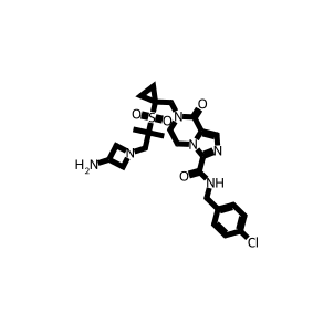 CC(C)(CN1CC(N)C1)S(=O)(=O)C1(CN2CCn3c(cnc3C(=O)NCc3ccc(Cl)cc3)C2=O)CC1